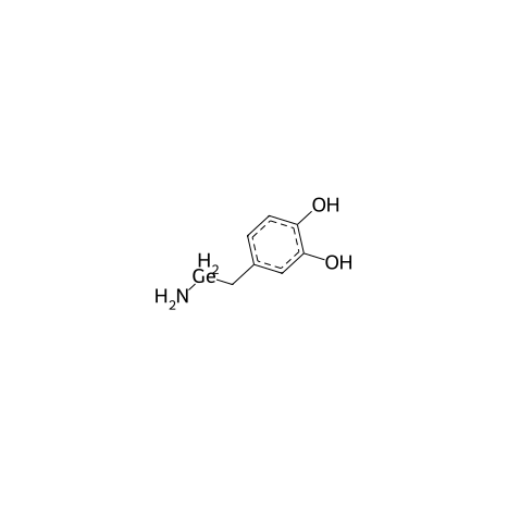 [NH2][GeH2][CH2]c1ccc(O)c(O)c1